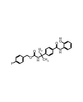 CC(C)(NC(=O)OCc1ccc(F)cc1)c1ccc(C(=O)Nc2ccccc2O)cc1